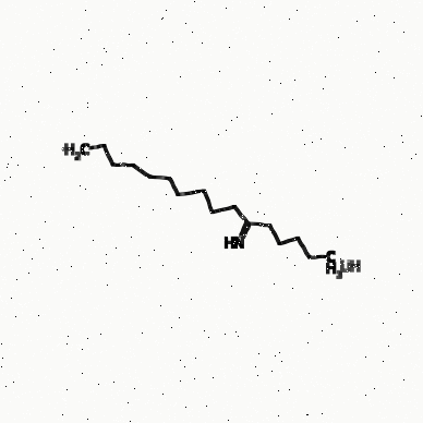 [CH2]CCCCCCCCCC(=N)CCCCC.[LiH]